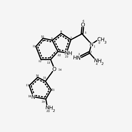 CN(C(=N)N)C(=O)c1cc2cccc(Oc3ccnc(N)c3)c2[nH]1